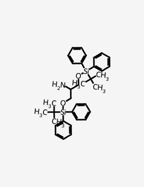 CC(C)(C)[Si](OCC(N)CO[Si](c1ccccc1)(c1ccccc1)C(C)(C)C)(c1ccccc1)c1ccccc1